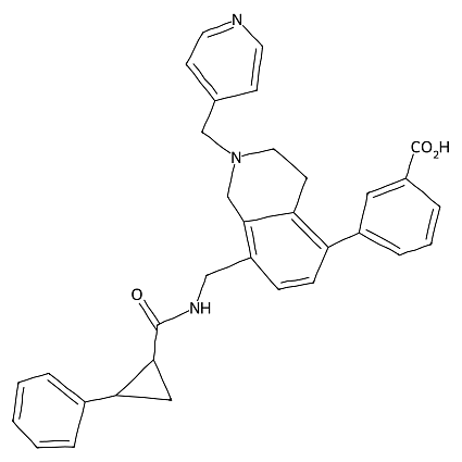 O=C(O)c1cccc(-c2ccc(CNC(=O)C3CC3c3ccccc3)c3c2CCN(Cc2ccncc2)C3)c1